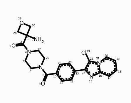 NC1(C(=O)N2CCN(C(=O)c3ccc(-c4nc5ccccn5c4Cl)cc3)CC2)COC1